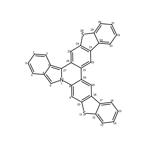 c1ccc2c(c1)cn1c3cc4sc5ccccc5c4cc3c3cc4c(cc3c21)sc1ccccc14